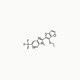 CCSc1c(-c2nc3cc(C(F)(F)F)ncc3n2C)sc2ccoc12